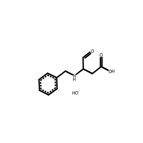 Cl.O=CC(CC(=O)O)NCc1ccccc1